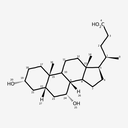 C[C@H](CCC(=O)O)[C@H]1CCC2[C@H]3C(CC[C@@]21C)[C@@]1(C)CC[C@@H](O)C[C@H]1C[C@H]3O